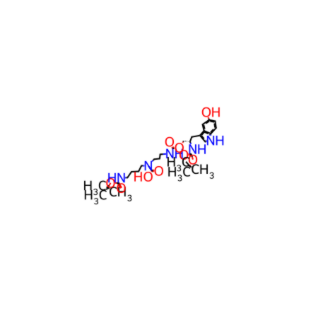 CC(C)(C)OC(=O)NCCCCN(CCCNC(=O)OC[C@H](Cc1c[nH]c2ccc(O)cc12)NC(=O)OC(C)(C)C)C(=O)O